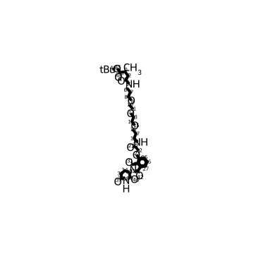 C[C@@H](CC(=O)NCCCOCCOCCOCCCNC(=O)COc1cccc2c1C(=O)N(C1CCC(=O)NC1=O)C2=O)C(=O)OC(C)(C)C